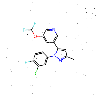 Cc1cc(-c2cncc(OC(F)F)c2)n(-c2ccc(F)c(Cl)c2)n1